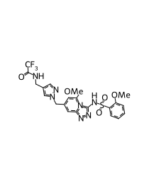 COc1ccccc1S(=O)(=O)Nc1nnc2cc(Cn3cc(CNC(=O)C(F)(F)F)cn3)cc(OC)n12